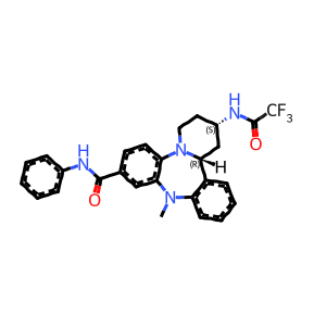 CN1c2ccccc2[C@H]2C[C@@H](NC(=O)C(F)(F)F)CCN2c2ccc(C(=O)Nc3ccccc3)cc21